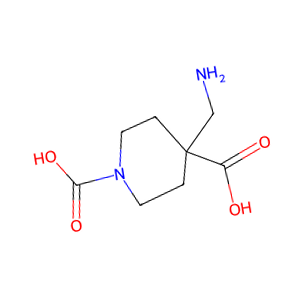 NCC1(C(=O)O)CCN(C(=O)O)CC1